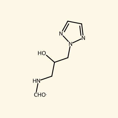 O=[C]NCC(O)Cn1nccn1